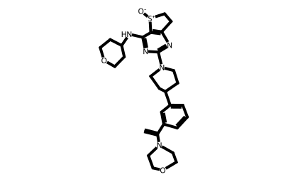 C=C(c1cccc(C2CCN(c3nc4c(c(NC5CCOCC5)n3)[S+]([O-])CC4)CC2)c1)N1CCOCC1